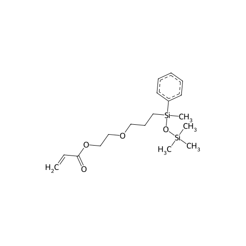 C=CC(=O)OCCOCCC[Si](C)(O[Si](C)(C)C)c1ccccc1